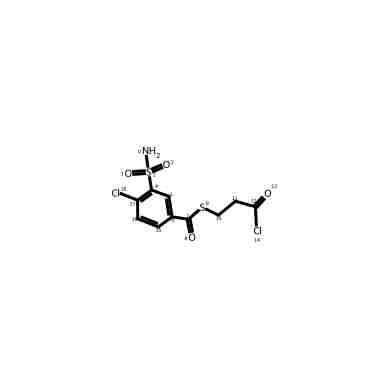 NS(=O)(=O)c1cc(C(=O)SCCC(=O)Cl)ccc1Cl